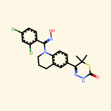 CC1(C)SC(=O)NN=C1c1ccc2c(c1)CCCN2C(=NO)c1ccc(Cl)cc1Cl